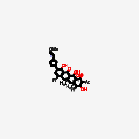 CO/C=C/C1=CC=C(c2cc(C(C)C)c3c(c2O)C(=O)C2=C(O)[C@@]4(O)C(=O)C(C(C)=O)=C(O)C(C(C)C)[C@@]4(C)C[C@@]2(C)C3)C1